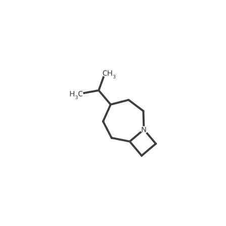 CC(C)C1CCC2CCN2CC1